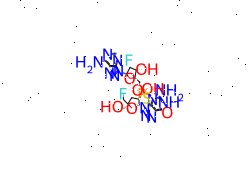 Nc1nc2c(nnn2[C@@H]2O[C@@](CO)(CF)C[C@H]2P(O)(=S)OC[C@H]2O[C@@H](n3nnc4c(N)ncnc43)[C@@H](F)[C@@H]2O)c(=O)[nH]1